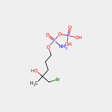 CC(O)(CBr)CCCOP(N)(=O)OP(=O)(O)O